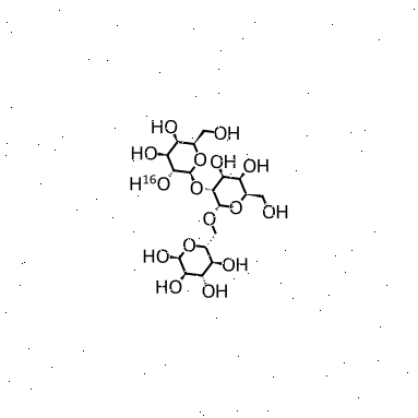 OC[C@H]1O[C@@H](O[C@H]2[C@@H](OC[C@H]3O[C@H](O)[C@H](O)[C@@H](O)[C@@H]3O)O[C@H](CO)[C@H](O)[C@@H]2O)[C@H]([16OH])[C@@H](O)[C@H]1O